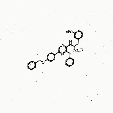 CCCc1cccc(CC(Nc2ncc(-c3ccc(OCc4ccccc4)cc3)nc2Cc2ccccc2)C(=O)OCC)c1